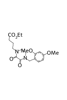 CCOC(=O)CCCN1CCN(Cc2ccc(OC)cc2OC)C(=O)C1=O